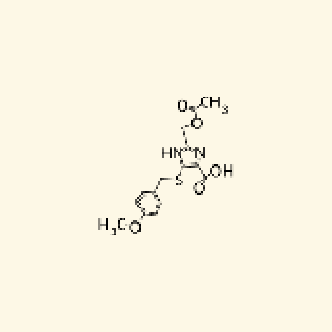 COc1ccc(CSc2[nH]c(COC(C)=O)nc2C(=O)O)cc1